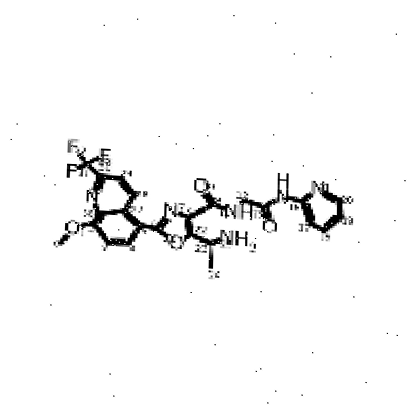 COc1ccc(-c2nc(C(=O)NCC(=O)Nc3ccccn3)c([C@H](C)N)o2)c2ccc(C(F)(F)F)nc12